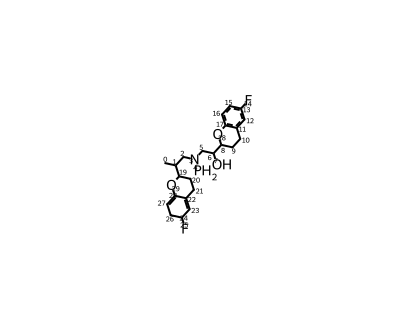 CC(CN(P)CC(O)C1CCc2cc(F)ccc2O1)C1CCC2=CC(F)CC=C2O1